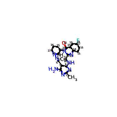 Cc1nc(N)c(C#N)c(N[C@@H](C)c2nc3ccc(F)cc3c(=O)n2-c2cccnc2)n1